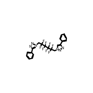 FC(F)(Cn1cc(-c2ccccc2)nn1)C(F)(F)C(F)(F)C(F)(F)Cn1cc(-c2ccccc2)nn1